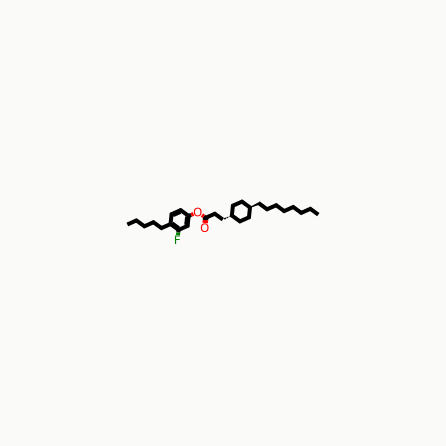 CCCCCCCC[C@H]1CC[C@H](CCC(=O)Oc2ccc(CCCCC)c(F)c2)CC1